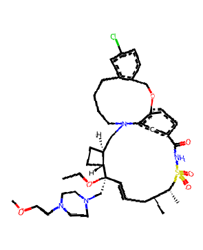 CCO[C@]1(CN2CCN(CCOC)CC2)/C=C/C[C@H](C)[C@@H](C)S(=O)(=O)NC(=O)c2ccc3c(c2)N(CCCCc2cc(Cl)ccc2CO3)C[C@@H]2CC[C@H]21